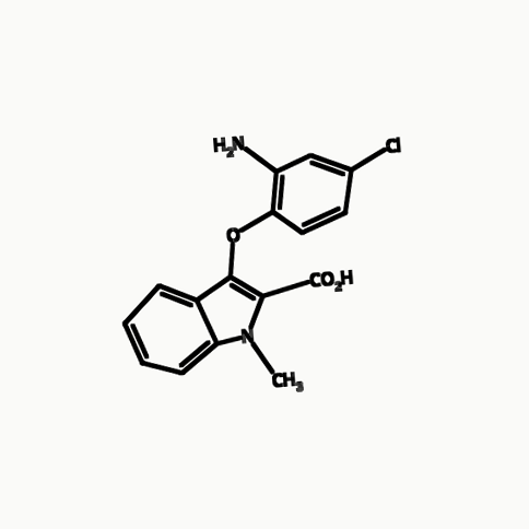 Cn1c(C(=O)O)c(Oc2ccc(Cl)cc2N)c2ccccc21